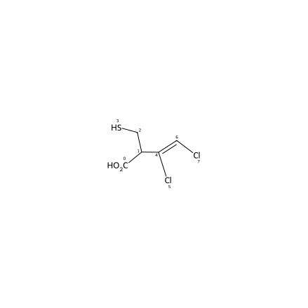 O=C(O)C(CS)/C(Cl)=C/Cl